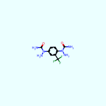 NC(=O)N(N)c1ccc(N(N)C(N)=O)c(C(F)(F)F)c1